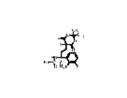 CC1(C)OC(=O)C(F)(CC[C@](C)(N[S+]([O-])C(C)(C)C)c2cccc(F)c2F)C(=O)O1